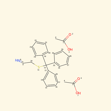 CC(=O)O.CC(=O)O.N=CCSC(c1ccccc1)(c1ccccc1)c1ccccc1